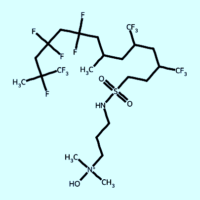 CC(CC(CC(CCS(=O)(=O)NCCC[N+](C)(C)O)C(F)(F)F)C(F)(F)F)CC(F)(F)CC(F)(F)CC(C)(F)C(F)(F)F